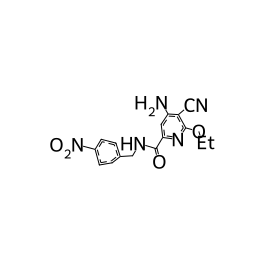 CCOc1nc(C(=O)NCc2ccc([N+](=O)[O-])cc2)cc(N)c1C#N